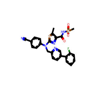 Cc1sc(N(Cc2ccc(-c3ccccc3F)cn2)c2ccc(C#N)cc2)nc1C(=O)NS(C)(=O)=O